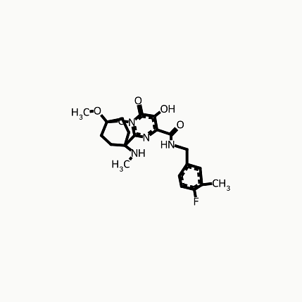 CNC12CCC(OC)(CC1)Cn1c2nc(C(=O)NCc2ccc(F)c(C)c2)c(O)c1=O